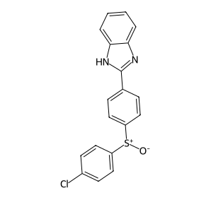 [O-][S+](c1ccc(Cl)cc1)c1ccc(-c2nc3ccccc3[nH]2)cc1